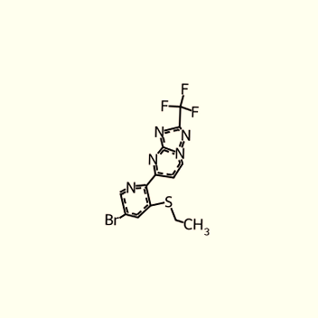 CCSc1cc(Br)cnc1-c1ccn2nc(C(F)(F)F)nc2n1